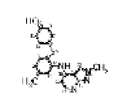 Cc1ccc(Sc2ccc(O)cc2)c(Nc2ccnc3nn(C)cc23)c1